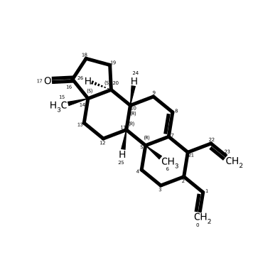 C=CC1CC[C@@]2(C)C(=CC[C@@H]3[C@H]2CC[C@]2(C)C(=O)CC[C@@H]32)C1C=C